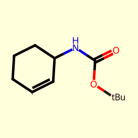 CC(C)(C)OC(=O)NC1C=[C]CCC1